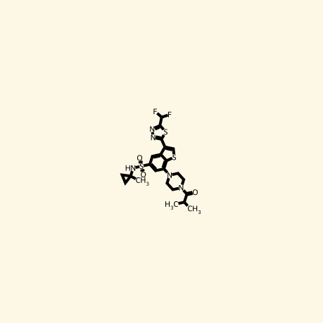 CC(C)C(=O)N1CCN(c2cc(S(=O)(=O)NC3(C)CC3)cc3c(-c4nnc(C(F)F)s4)csc23)CC1